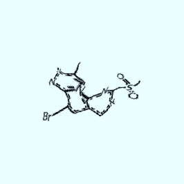 Cc1nnc2c(Br)cc3cnc(S(C)(=O)=O)nc3n12